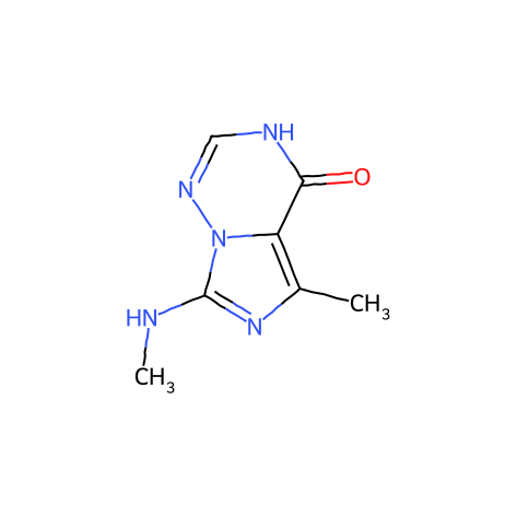 CNc1nc(C)c2c(=O)[nH]cnn12